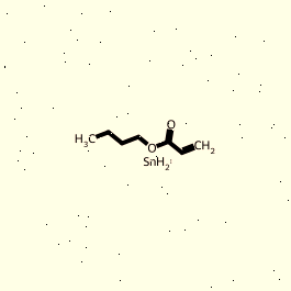 C=CC(=O)OCCCC.[SnH2]